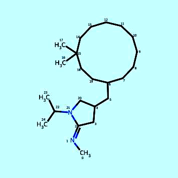 C/N=C1\CC(CC2CCCCCCCCC(C)(C)CC2)CN1C(C)C